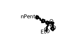 C=C(COC1CCCCO1)C(=O)Oc1ccc(-c2ccc(CCc3ccc(CCCCC)cc3)cc2)cc1CCCOC(=O)CC